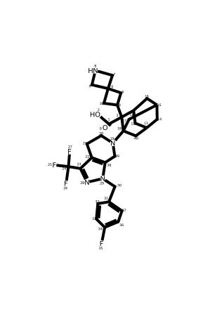 O=C(O)C1(C2CC3(CNC3)C2)C2CC3CC(C2)CC1(N1CCc2c(C(F)(F)F)nn(Cc4ccc(F)cc4)c2C1)C3